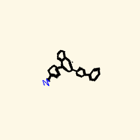 N#Cc1ccc(-c2cc(-c3ccc(-c4ccccc4)cc3)[c]c3ccccc23)cc1